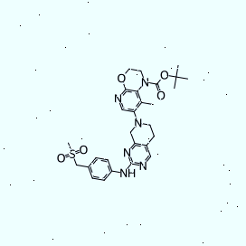 Cc1c(N2CCc3cnc(Nc4ccc(CS(C)(=O)=O)cc4)nc3C2)cnc2c1N(C(=O)OC(C)(C)C)CCO2